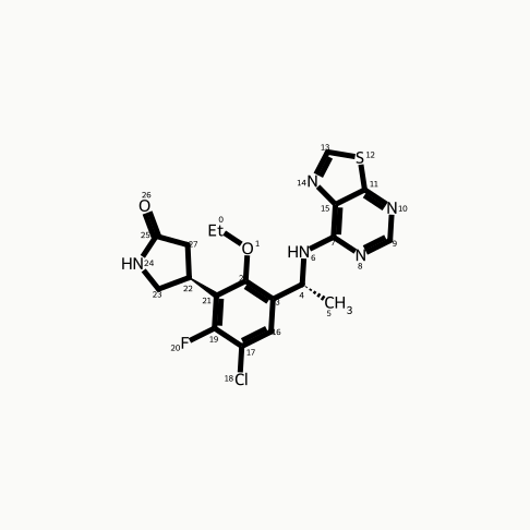 CCOc1c([C@@H](C)Nc2ncnc3scnc23)cc(Cl)c(F)c1[C@H]1CNC(=O)C1